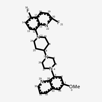 COc1cc(N2CCN(C3CCN(c4ccc(F)c5ccc(F)nc45)CC3)CC2)c2ncccc2c1